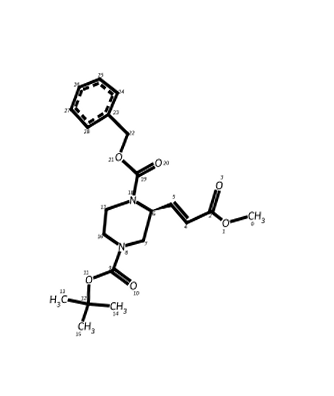 COC(=O)C=C[C@H]1CN(C(=O)OC(C)(C)C)CCN1C(=O)OCc1ccccc1